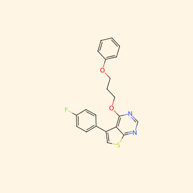 Fc1ccc(-c2csc3ncnc(OCCCOc4ccccc4)c23)cc1